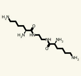 NCCCC[C@H](N)C(=O)NCCNC(=O)[C@@H](N)CCCCN